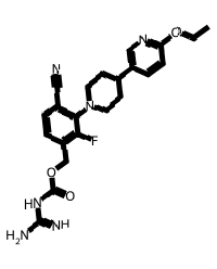 CCOc1ccc(C2CCN(c3c(C#N)ccc(COC(=O)NC(=N)N)c3F)CC2)cn1